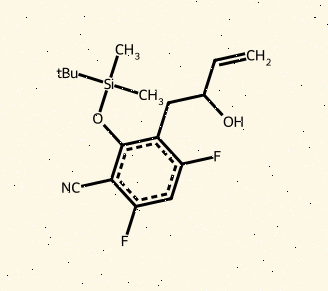 C=CC(O)Cc1c(F)cc(F)c(C#N)c1O[Si](C)(C)C(C)(C)C